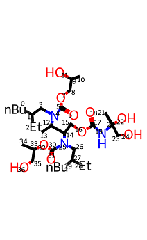 CCCCC(CC)CN(C(=O)OCC(C)O)C(C)C(COC(=O)NC(C)(O)CO)N(CC(CC)CCCC)C(=O)OC(C)CO